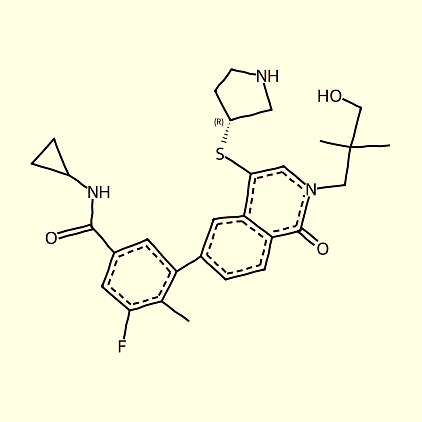 Cc1c(F)cc(C(=O)NC2CC2)cc1-c1ccc2c(=O)n(CC(C)(C)CO)cc(S[C@@H]3CCNC3)c2c1